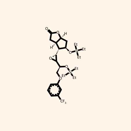 CC[Si](CC)(CC)O[C@@H](COc1cccc(C(F)(F)F)c1)C1O[C@@H]1[C@@H]1[C@H]2CC(=O)O[C@H]2C[C@H]1O[Si](CC)(CC)CC